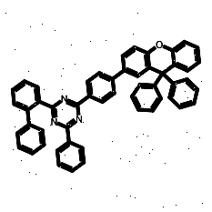 c1ccc(-c2nc(-c3ccc(-c4ccc5c(c4)C(c4ccccc4)(c4ccccc4)c4ccccc4O5)cc3)nc(-c3ccccc3-c3ccccc3)n2)cc1